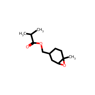 CC(C)C(=O)OCC1CCC2(C)OC2C1